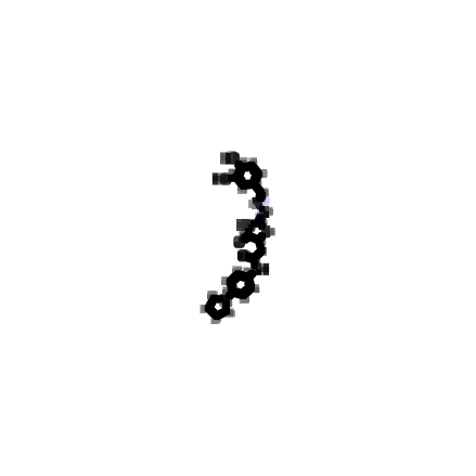 O=C(CC1S/C(=N/N=C/c2ccc(O)c(O)c2)NC1=O)Nc1ccc(N2CCCC2)cc1